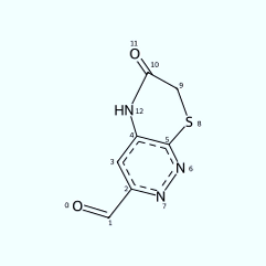 O=Cc1cc2c(nn1)SCC(=O)N2